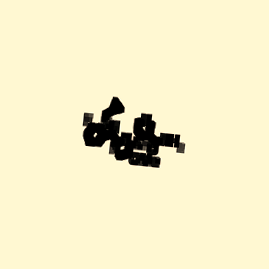 COc1cnc(-c2nn(CC3CC3)c3c(F)cccc23)nc1Nc1ccncc1C(N)=O